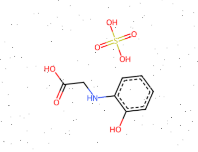 O=C(O)CNc1ccccc1O.O=S(=O)(O)O